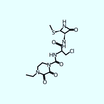 CCN1CCN(C(=O)NC(CCl)C(=O)N[C@@H]2C(=O)N[C@@H]2SC)C(=O)C1=O